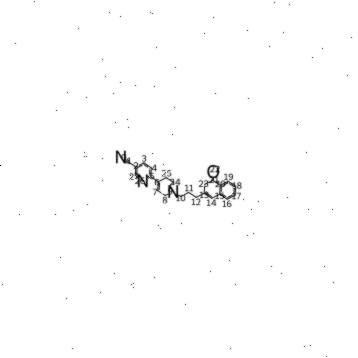 N#Cc1ccc(C2=CCN(CCCC3=Cc4ccccc4C(=O)C3)CC2)nc1